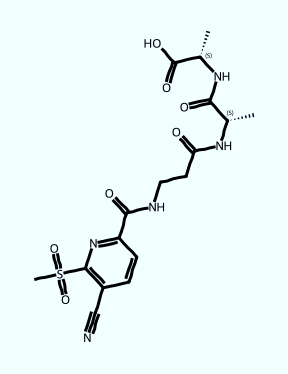 C[C@H](NC(=O)[C@H](C)NC(=O)CCNC(=O)c1ccc(C#N)c(S(C)(=O)=O)n1)C(=O)O